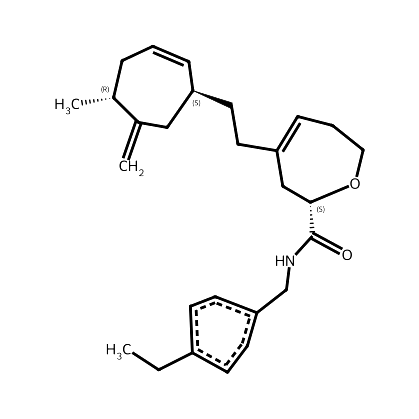 C=C1C[C@H](CCC2=CCCO[C@H](C(=O)NCc3ccc(CC)cc3)C2)C=CC[C@H]1C